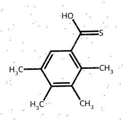 Cc1cc(C(O)=S)c(C)c(C)c1C